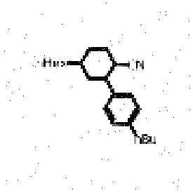 CCCCCCC1CCC(C#N)C(c2ccc(CCCC)cc2)C1